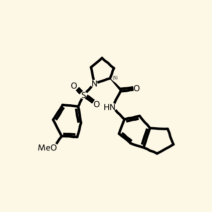 COc1ccc(S(=O)(=O)N2CCC[C@H]2C(=O)Nc2ccc3c(c2)CCC3)cc1